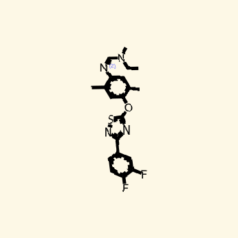 CCN(C)/C=N\c1cc(C)c(Oc2nc(-c3ccc(F)c(F)c3)ns2)cc1C